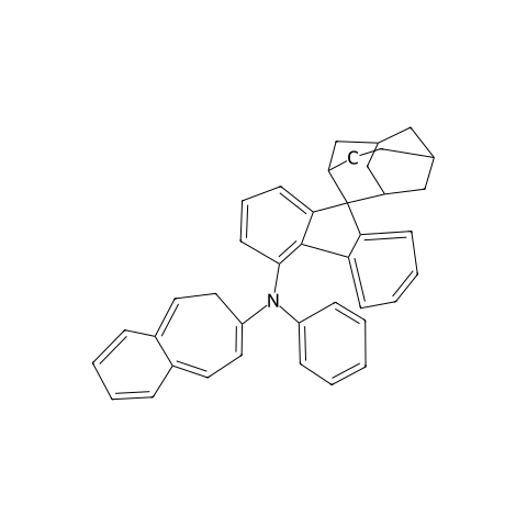 C1=C(N(c2ccccc2)c2cccc3c2-c2ccccc2C32C3CCC4CC(C3)CC2C4)CC=c2ccccc2=C1